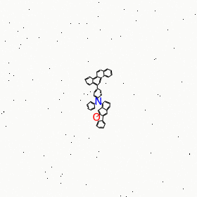 c1ccc(N(c2ccc(-c3cc4c5ccccc5ccc4c4ccccc34)cc2)c2cccc3cc4c(cc23)oc2ccccc24)cc1